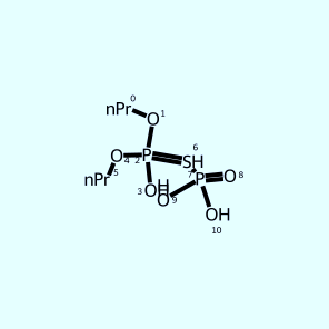 CCCOP(O)(OCCC)=[SH]P(=O)(O)O